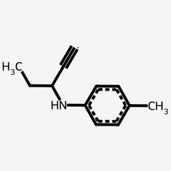 [C]#CC(CC)Nc1ccc(C)cc1